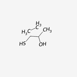 CC.CC(O)CS